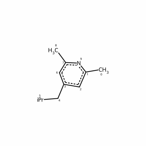 Cc1cc(CC(C)C)cc(C)n1